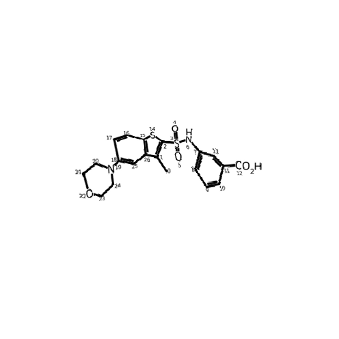 Cc1c(S(=O)(=O)Nc2cccc(C(=O)O)c2)sc2ccc(N3CCOCC3)cc12